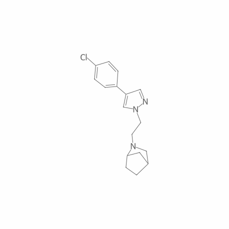 Clc1ccc(-c2cnn(CCN3CC4CCC3C4)c2)cc1